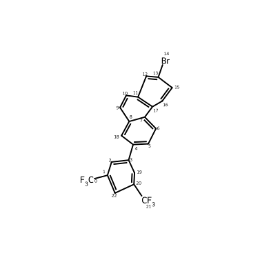 FC(F)(F)c1cc(-c2ccc3c(ccc4cc(Br)ccc43)c2)cc(C(F)(F)F)c1